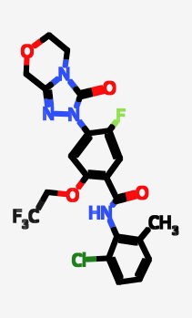 Cc1cccc(Cl)c1NC(=O)c1cc(F)c(-n2nc3n(c2=O)CCOC3)cc1OCC(F)(F)F